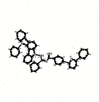 N=C(/N=C(\Nn1c2ccccc2c2c1ccc1c3ccccc3n(-c3ccccc3)c12)c1ccccc1)c1ccc(-c2cccc(-c3ccccc3)n2)cc1